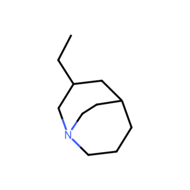 CCC1CC2CCCN(CC2)C1